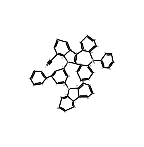 N#Cc1cccc2c3c(n(-c4cc(-c5ccccc5)cc(-n5c6ccccc6c6ccccc65)c4)c12)-c1ccccc1N(c1ccccc1)c1ccccc1-3